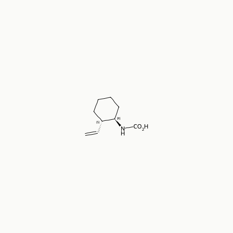 C=C[C@@H]1CCCC[C@H]1NC(=O)O